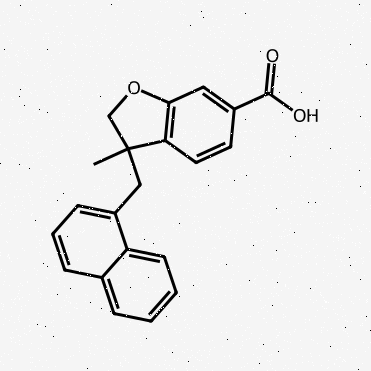 CC1(Cc2cccc3ccccc23)COc2cc(C(=O)O)ccc21